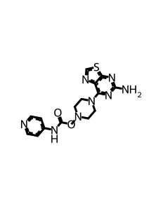 Nc1nc(N2CCN(OC(=O)Nc3ccncc3)CC2)c2ncsc2n1